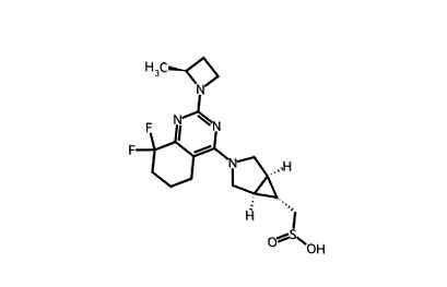 C[C@H]1CCN1c1nc(N2C[C@@H]3[C@H](C2)[C@H]3CS(=O)O)c2c(n1)C(F)(F)CCC2